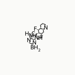 Bc1cnc(N)c(NC(C)c2c(F)cc3ncccc3c2F)n1